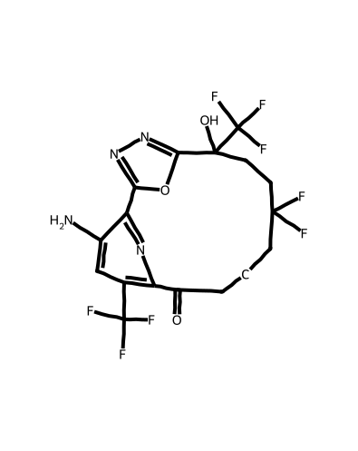 Nc1cc(C(F)(F)F)c2nc1-c1nnc(o1)C(O)(C(F)(F)F)CCC(F)(F)CCCC2=O